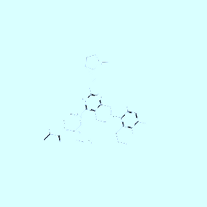 C=C(F)C(=O)N1CCN(c2nc(OC[C@@H]3CCCN3C)nc3c2CCN(c2c(F)cc(F)c4c2CCCS4)C3)C[C@@H]1CC#N